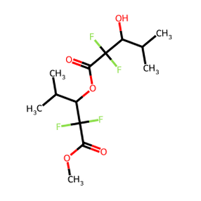 COC(=O)C(F)(F)C(OC(=O)C(F)(F)C(O)C(C)C)C(C)C